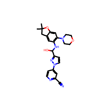 CC1(C)Cc2cc(NC(O)c3ccn(-c4ccnc(C#N)c4)n3)c(N3CCOCC3)cc2O1